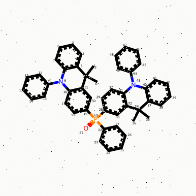 CC1(C)c2ccccc2N(c2ccccc2)c2ccc(P(=O)(c3ccccc3)c3ccc4c(c3)C(C)(C)c3ccccc3N4c3ccccc3)cc21